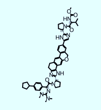 COC(=O)N[C@H](C(=O)N1CCC[C@H]1c1ncc(-c2ccc3c(c2)COc2cc4c(cc2-3)CCc2nc([C@@H]3CCCN3C(=O)[C@H](N=C(N(C)C)N(C)C)c3ccc(C5CCCC5)cc3)[nH]c2-4)[nH]1)C(C)C